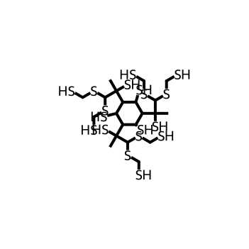 CC(S)(C(SCS)SCS)C1C(S)C(C(C)(S)C(SCS)SCS)C(S)C(C(C)(S)C(SCS)SCS)C1S